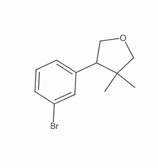 CC1(C)COCC1c1cccc(Br)c1